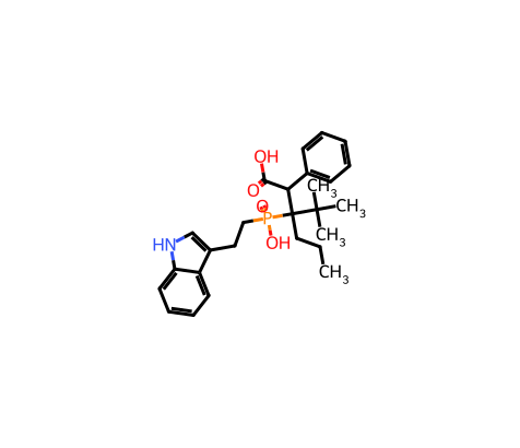 CCCC(C(C(=O)O)c1ccccc1)(C(C)(C)C)P(=O)(O)CCc1c[nH]c2ccccc12